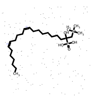 CCCCCC/C=C\CCC/C=C\CCCCCCCC(O)(C[N+](C)(C)C)P(=O)(O)O